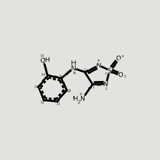 NC1=NS(=O)(=O)N=C1Nc1ccccc1O